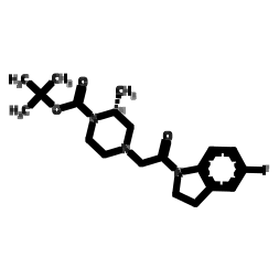 C[C@@H]1CN(CC(=O)N2CCc3cc(F)ccc32)CCN1C(=O)OC(C)(C)C